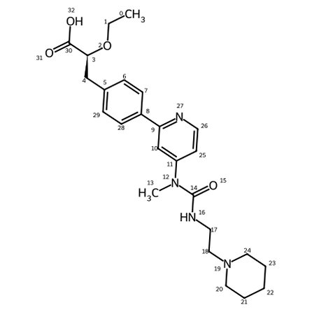 CCO[C@@H](Cc1ccc(-c2cc(N(C)C(=O)NCCN3CCCCC3)ccn2)cc1)C(=O)O